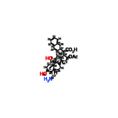 CC(=O)O[C@H]1C[C@@]2(C)[C@@H](C[C@@H](O)[C@H]3[C@@]4(C)CC[C@@H](O)[C@@H](CN)[C@@H]4CC[C@@]32C)/C1=C(/C(=O)O)c1ccc2ccccc2c1